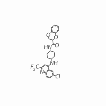 O=C(N[C@H]1CC[C@@H](Nc2cc(C(F)(F)F)nc3ccc(Cl)cc23)CC1)C1COc2ccccc2O1